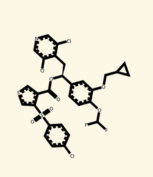 O=C(O[C@@H](Cc1c(Cl)cncc1Cl)c1ccc(OC(F)F)c(OCC2CC2)c1)c1cscc1S(=O)(=O)c1ccc(Cl)cc1